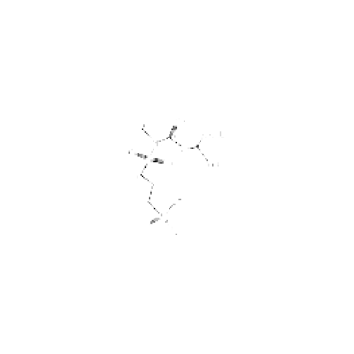 CCCCC(OC(=O)N(C)S(=O)(=O)CCCS(=O)(=O)I)C(=O)OCC